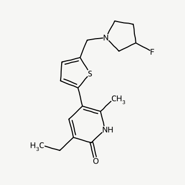 CCc1cc(-c2ccc(CN3CCC(F)C3)s2)c(C)[nH]c1=O